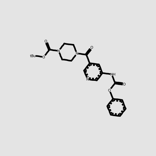 CC(C)(C)OC(=O)N1CCN(C(=O)c2cncc(NC(=O)Oc3ccccc3)c2)CC1